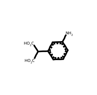 Nc1cccc(C(C(=O)O)C(=O)O)c1